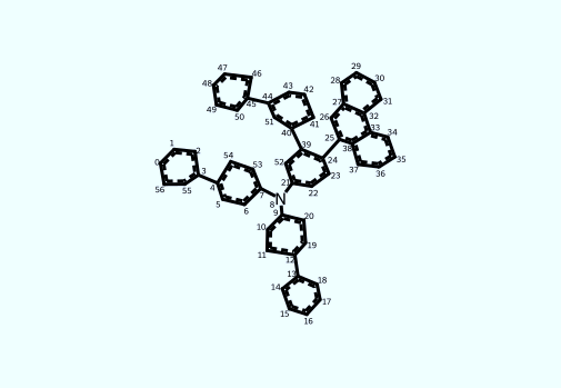 c1ccc(-c2ccc(N(c3ccc(-c4ccccc4)cc3)c3ccc(-c4cc5ccccc5c5ccccc45)c(-c4cccc(-c5ccccc5)c4)c3)cc2)cc1